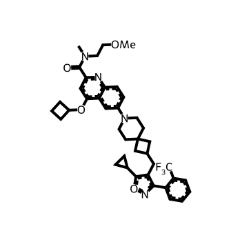 COCCN(C)C(=O)c1cc(OC2CCC2)c2cc(N3CCC4(CC3)CC(Cc3c(-c5ccccc5C(F)(F)F)noc3C3CC3)C4)ccc2n1